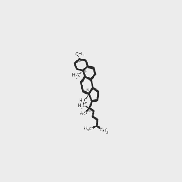 CC(C)CCC[C@](C)(O)C1CCC2C3CC=C4C[C@@H](C)CC[C@]4(C)C3CC[C@@]21C